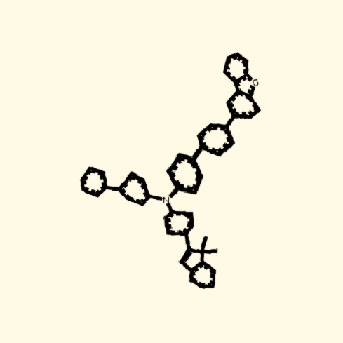 CC1(C)C(c2ccc(N(c3ccc(-c4ccccc4)cc3)c3ccc(-c4ccc(-c5ccc6oc7ccccc7c6c5)cc4)cc3)cc2)=Cc2ccccc21